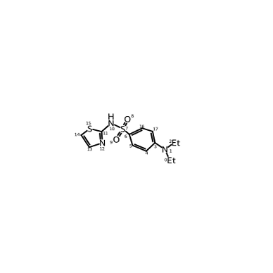 CCN(CC)c1ccc(S(=O)(=O)Nc2nccs2)cc1